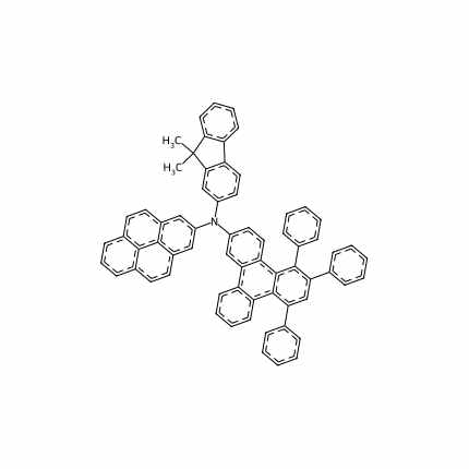 CC1(C)c2ccccc2-c2ccc(N(c3cc4ccc5cccc6ccc(c3)c4c56)c3ccc4c(c3)c3ccccc3c3c(-c5ccccc5)cc(-c5ccccc5)c(-c5ccccc5)c43)cc21